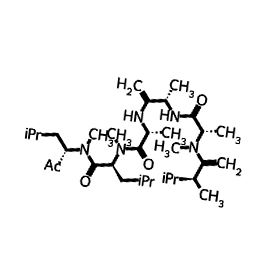 C=C(N[C@H](C)C(=O)N(C)[C@@H](CC(C)C)C(=O)N(C)[C@@H](CC(C)C)C(C)=O)[C@H](C)NC(=O)[C@H](C)N(C)C(=C)[C@@H](C)C(C)C